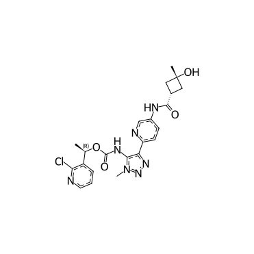 C[C@@H](OC(=O)Nc1c(-c2ccc(NC(=O)[C@H]3C[C@@](C)(O)C3)cn2)nnn1C)c1cccnc1Cl